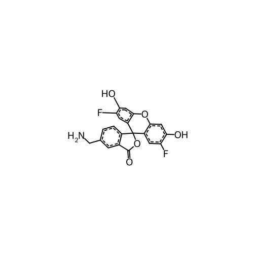 NCc1ccc2c(c1)C(=O)OC21c2cc(F)c(O)cc2Oc2cc(O)c(F)cc21